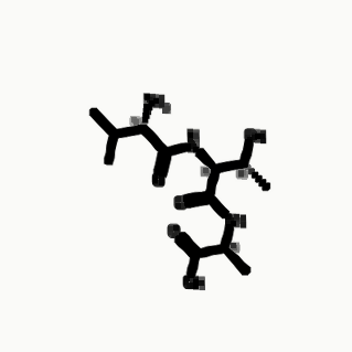 CC(C)[C@H](N)C(=O)N[C@H](C(=O)N[C@@H](C)C(=O)O)[C@@H](C)O